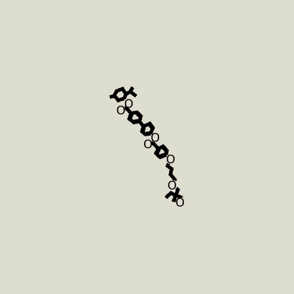 CCC1(COCCCCOc2ccc(C(=O)Oc3ccc(-c4ccc(C(=O)OC5CC(C)CCC5C(C)C)cc4)cc3)cc2)COC1